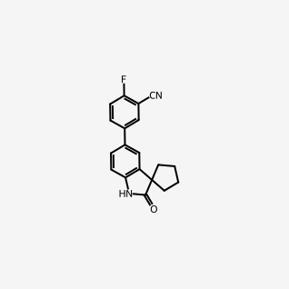 N#Cc1cc(-c2ccc3c(c2)C2(CCCC2)C(=O)N3)ccc1F